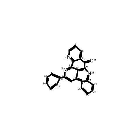 O=C1c2cccnc2-c2nc(-c3ccccc3)cc3c2c1nc1ccccc13